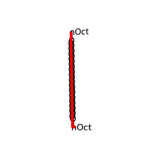 CCCCCCCC/C=C\CCCCCCCCOCCOCCOCCOCCOCCOCCOCCOCCOCCOCCOCCOCCOCCOCCOCCOCCOCCOCCOCCOCCOCCOCCOCCOCCOCCOCCOCCOCCOCCOCCOCCCCCCCC/C=C\CCCCCCCC